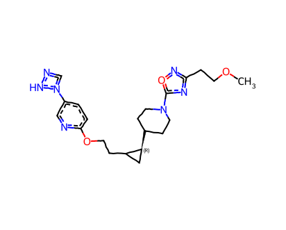 COCCc1noc(N2CCC([C@H]3CC3CCOc3ccc(-n4cn[nH]4)cn3)CC2)n1